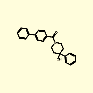 O=C(c1ccc(-c2ccccc2)cc1)N1CCC(O)(c2ccccc2)CC1